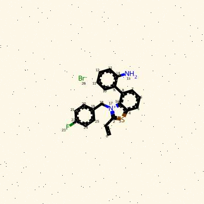 C=Cc1sc2cccc(-c3ccccc3N)c2[n+]1Cc1ccc(F)cc1.[Br-]